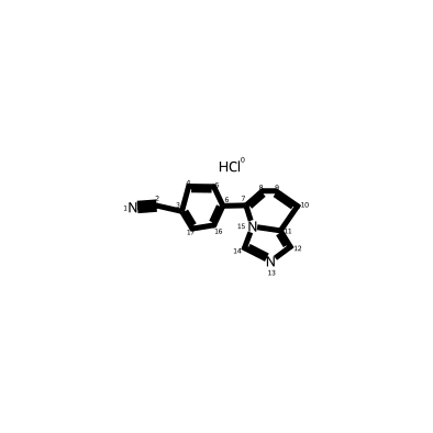 Cl.N#Cc1ccc(-c2cccc3cncn23)cc1